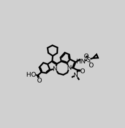 CN(C)C(=O)c1c(CNS(=O)(=O)C2CC2)c2cccc3c2n1CCCN1C2=CC(C(=O)O)=CCC2C(C2CCCCC2)=C31